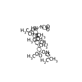 C=C(C)c1cc(OCC2(C(=O)OCC)CC=C(C3=CC[C@@]4(C)C(CC[C@]5(C)C4CCC4C6[C@H](C(=C)C)CC[C@]6(NCCN6CCS(=O)(=O)CC6)CC[C@]45C)C3(C)C)CC2)ns1